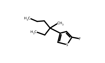 CCCC(C)(CC)c1csc(F)c1